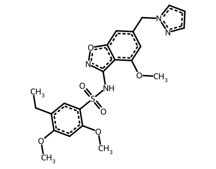 CCc1cc(S(=O)(=O)Nc2noc3cc(Cn4cccn4)cc(OC)c23)c(OC)cc1OC